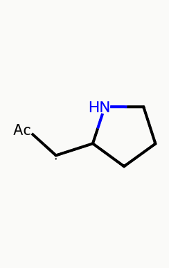 CC(=O)[CH]C1CCCN1